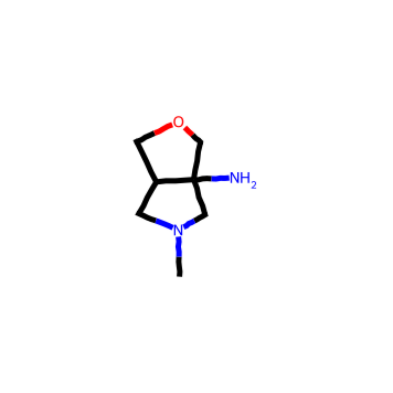 CN1CC2COCC2(N)C1